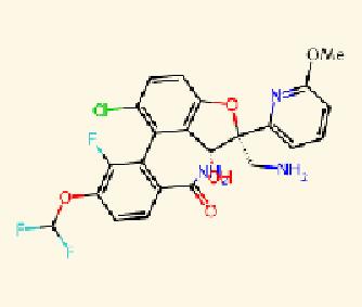 COc1cccc([C@]2(CN)Oc3ccc(Cl)c(-c4c(C(N)=O)ccc(OC(F)F)c4F)c3[C@H]2O)n1